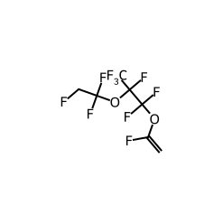 C=C(F)OC(F)(F)C(F)(OC(F)(F)CF)C(F)(F)F